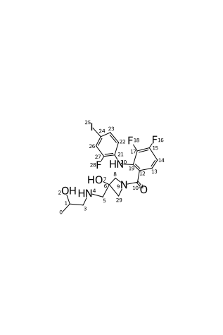 CC(O)CNCC1(O)CN(C(=O)c2ccc(F)c(F)c2Nc2ccc(I)cc2F)C1